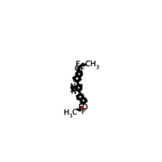 CCCC(F)(F)Oc1ccc2cc(-c3ccc(-c4ccc5cc(OC(F)(F)CCC)ccc5c4)c4nsnc34)ccc2c1